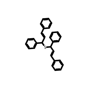 C(=CC(SC(C=Cc1ccccc1)c1ccccc1)c1ccccc1)c1ccccc1